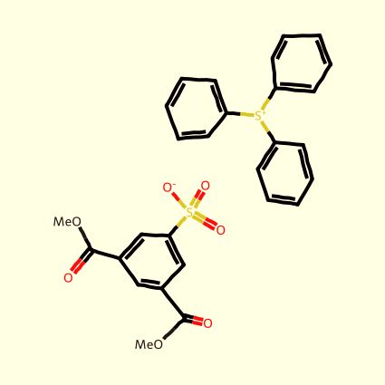 COC(=O)c1cc(C(=O)OC)cc(S(=O)(=O)[O-])c1.c1ccc([S+](c2ccccc2)c2ccccc2)cc1